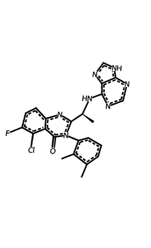 Cc1cccc(-n2c([C@H](C)Nc3ncnc4[nH]cnc34)nc3ccc(F)c(Cl)c3c2=O)c1C